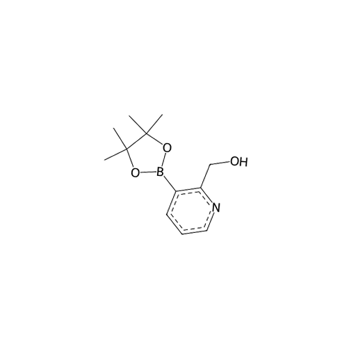 CC1(C)OB(c2cccnc2CO)OC1(C)C